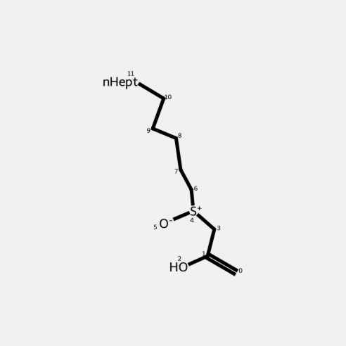 C=C(O)C[S+]([O-])CCCCCCCCCCCC